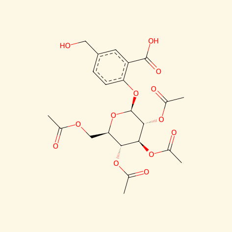 CC(=O)OC[C@H]1O[C@@H](Oc2ccc(CO)cc2C(=O)O)[C@H](OC(C)=O)[C@@H](OC(C)=O)[C@@H]1OC(C)=O